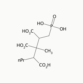 CCCC(C(=O)O)C(C)(C(=O)O)C(CP(=O)(O)O)C(=O)O